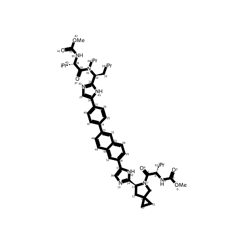 COC(=O)N[C@H](C(=O)N1CC2(CC2)C[C@H]1c1ncc(-c2ccc3cc(-c4ccc(-c5cnc([C@H](CC(C)C)N(C(=O)[C@@H](NC(=O)OC)C(C)C)C(C)C)[nH]5)cc4)ccc3c2)[nH]1)C(C)C